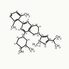 Cc1cccc(C)c1-c1nc2c(c(N3CCC(O)C(C)C3)n1)CN(c1cc(C(C)C)nn1C)CC2